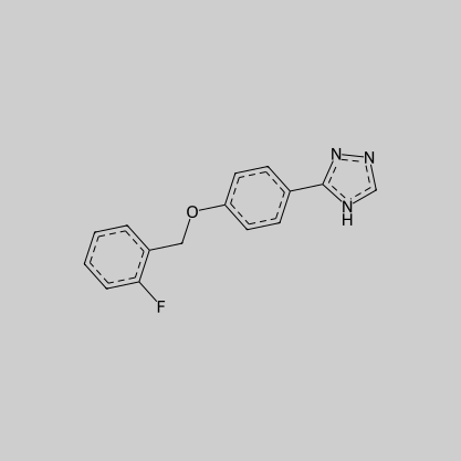 Fc1ccccc1COc1ccc(-c2nnc[nH]2)cc1